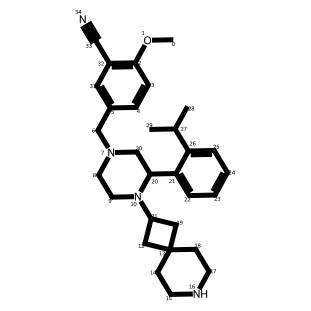 COc1ccc(CN2CCN(C3CC4(CCNCC4)C3)C(c3ccccc3C(C)C)C2)cc1C#N